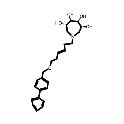 O[C@H]1[C@H](O)[C@@H](O)CN(CC/C=C/CCOCc2ccc(-c3ccccc3)cc2)C[C@@H]1O